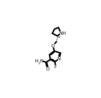 NC(=O)c1cc(OC[C@@H]2CCCN2)cnc1F